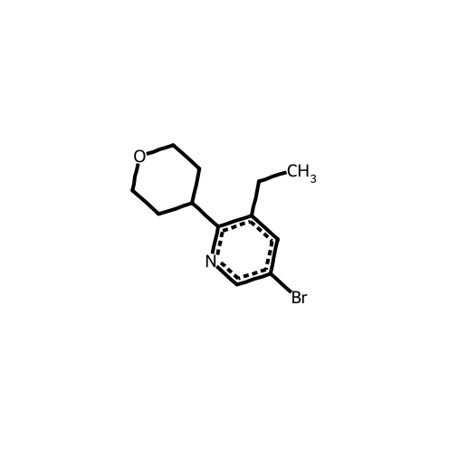 CCc1cc(Br)cnc1C1CCOCC1